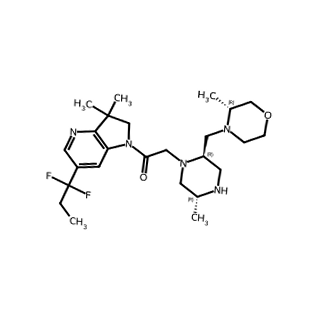 CCC(F)(F)c1cnc2c(c1)N(C(=O)CN1C[C@@H](C)NC[C@@H]1CN1CCOC[C@H]1C)CC2(C)C